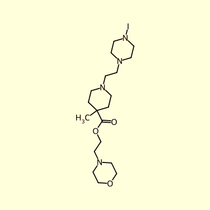 CC1(C(=O)OCCN2CCOCC2)CCN(CCN2CCN(I)CC2)CC1